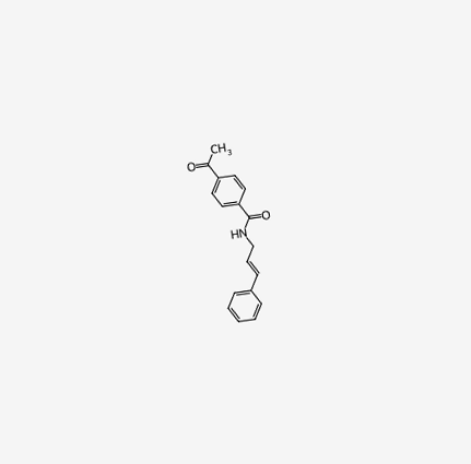 CC(=O)c1ccc(C(=O)NC/C=C/c2ccccc2)cc1